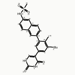 CC(C)(C)c1cc(-c2c[nH]c(=O)[nH]c2=O)cc(-c2ccc3cc(NS(C)(=O)=O)ccc3c2)c1I